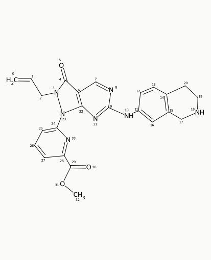 C=CCn1c(=O)c2cnc(Nc3ccc4c(c3)CNCC4)nc2n1-c1cccc(C(=O)OC)n1